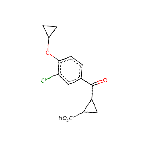 O=C(O)C1CC1C(=O)c1ccc(OC2CC2)c(Cl)c1